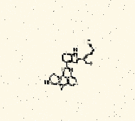 C#C/C=C\C=C(/CF)c1cc2c(-c3nc(N4CCNCC4)c4c(C5CC5)cncc4n3)ccnc2[nH]1